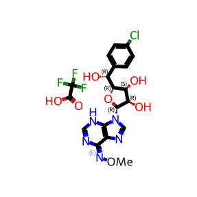 CO/N=c1/nc[nH]c2c1ncn2[C@@H]1O[C@H]([C@H](O)c2ccc(Cl)cc2)[C@@H](O)[C@H]1O.O=C(O)C(F)(F)F